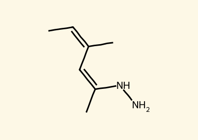 C/C=C(C)\C=C(\C)NN